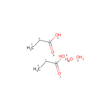 CCC(=O)O.CCC(=O)O.O.O